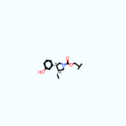 CC[C@H]1CN(C(=O)OCC(C)C)C[C@H]1c1cccc(O)c1